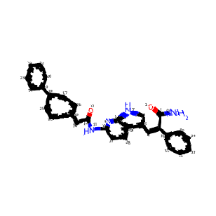 NC(=O)C(=Cc1c[nH]c2nc(NC(=O)Cc3ccc(-c4ccccc4)cc3)ccc12)c1ccccc1